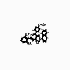 CCc1cc(-c2c(CC)cccc2CC)nc(-c2ccc(OC)cc2)c1CN(C)[C@H]1CCCc2ccccc21